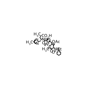 CCN1CCCC[C@@H]1C(=O)N[C@H](C(=O)N(C)[C@H](C[C@@H](OC(C)=O)c1nc(C(=O)N[C@@H](Cc2ncc(C)cn2)C[C@H](C)C(=O)O)cs1)C(C)C)C1CC1